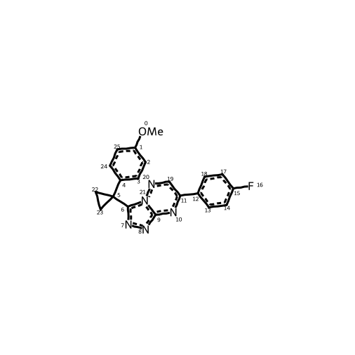 COc1ccc(C2(c3nnc4nc(-c5ccc(F)cc5)cnn34)CC2)cc1